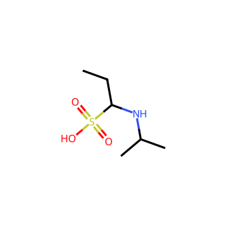 CCC(NC(C)C)S(=O)(=O)O